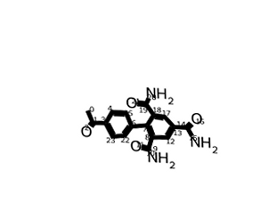 CC(=O)c1ccc(-c2c(C(N)=O)cc(C(N)=O)cc2C(N)=O)cc1